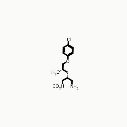 C[C@H](COc1ccc(Cl)cc1)C[C@H](CN)CC(=O)O